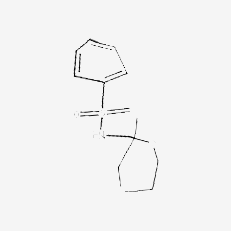 CC1(NS(=O)(=O)c2ccccc2)COCCO1